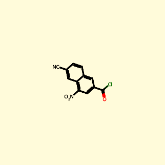 N#Cc1ccc2cc(C(=O)Cl)cc([N+](=O)[O-])c2c1